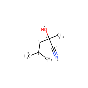 CC(C)CC(C)(O)C#N